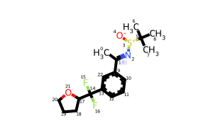 C/C(=N\[S+]([O-])C(C)(C)C)c1cccc(C(F)(F)C2CCCO2)c1